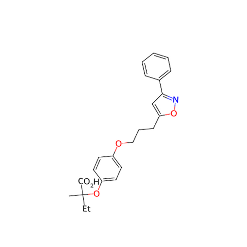 CCC(C)(Oc1ccc(OCCCc2cc(-c3ccccc3)no2)cc1)C(=O)O